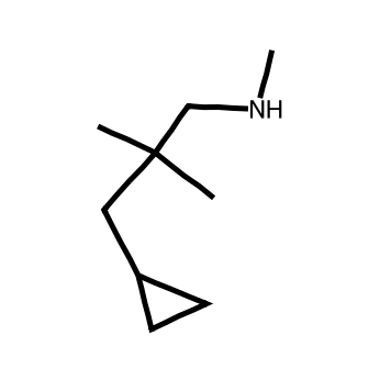 CNCC(C)(C)CC1CC1